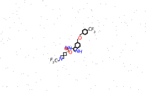 O=S(=O)(Nc1c[nH]c2ccc(COCc3ccc(C(F)(F)F)cc3)cc12)C1CC2(C1)CN(CC(F)(F)F)C2